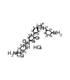 CC(Cc1ccc(-n2ccc(NC(=O)N3CCN(C(=O)C(C)(C)N)CC3)nc2=O)cc1)NCC1CCCC(N)C1.Cl